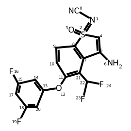 N#CN=S1(=O)C=C(N)c2c1ccc(Oc1cc(F)cc(F)c1)c2C(F)F